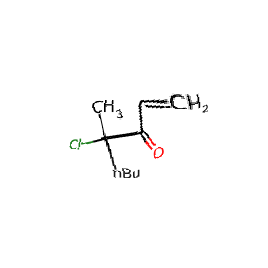 C=CC(=O)C(C)(Cl)CCCC